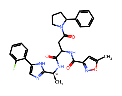 Cc1cc(C(=O)NC(CC(=O)N2CCCC2c2ccccc2)C(=O)N[C@@H](C)c2ncc(-c3ccccc3F)[nH]2)no1